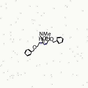 CNCC(O)C(/C=C\C(C)OCc1ccccc1)=C/COCc1ccccc1